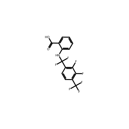 O=C(O)c1ccccc1NC(F)(F)c1ccc(C(F)(F)F)c(F)c1F